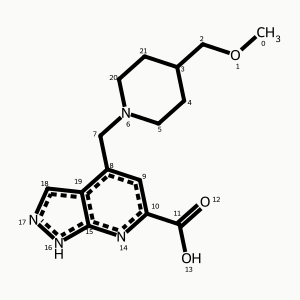 COCC1CCN(Cc2cc(C(=O)O)nc3[nH]ncc23)CC1